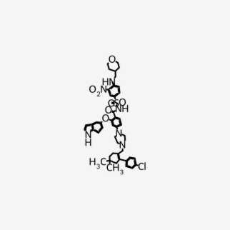 CC1(C)CCC(CN2CCN(c3ccc(C(=O)NS(=O)(=O)c4ccc(NCC5CCOCC5)c([N+](=O)[O-])c4)c(Oc4ccc5[nH]ccc5c4)c3)CC2)=C(c2ccc(Cl)cc2)C1